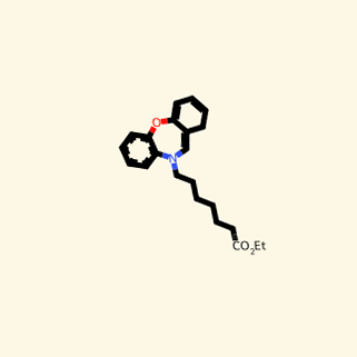 CCOC(=O)CCCCCCN1C=C2CC=CC=C2Oc2ccccc21